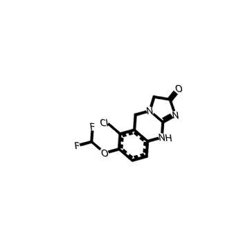 O=C1CN2Cc3c(ccc(OC(F)F)c3Cl)NC2=N1